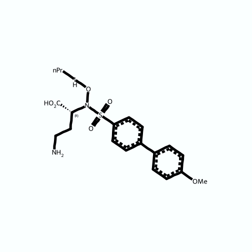 CCC[IH]ON([C@H](CCN)C(=O)O)S(=O)(=O)c1ccc(-c2ccc(OC)cc2)cc1